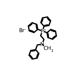 CN(CC[P+](c1ccccc1)(c1ccccc1)c1ccccc1)Cc1ccccc1.[Br-]